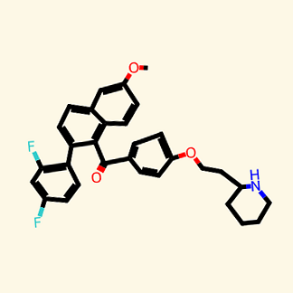 COc1ccc2c(C(=O)c3ccc(OCCC4CCCCN4)cc3)c(-c3ccc(F)cc3F)ccc2c1